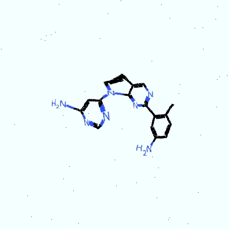 Cc1ccc(N)cc1-c1ncc2ccn(-c3cc(N)ncn3)c2n1